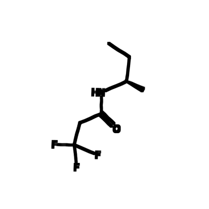 CC[C@@H](C)NC(=O)CC(F)(F)F